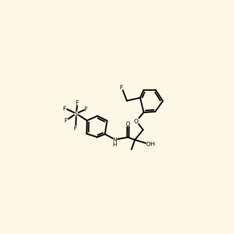 CC(O)(COc1ccccc1CF)C(=O)Nc1ccc(S(F)(F)(F)(F)F)cc1